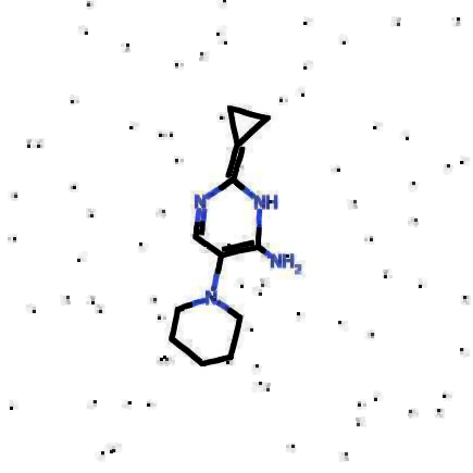 NC1=C(N2CCCCC2)C=NC(=C2CC2)N1